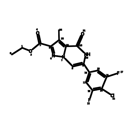 CCOC(=O)c1nn2cc(-c3cc(F)c(Cl)c(F)c3)[nH]c(=O)c2c1C